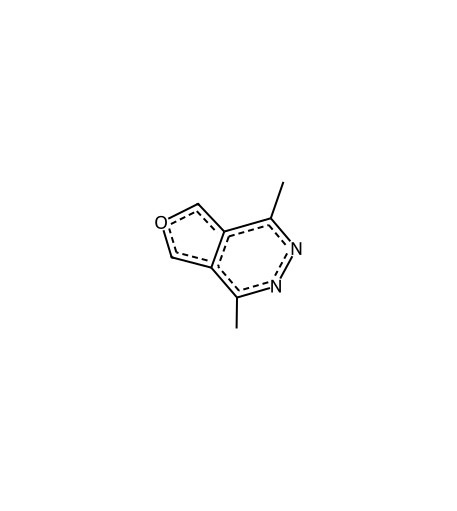 Cc1nnc(C)c2cocc12